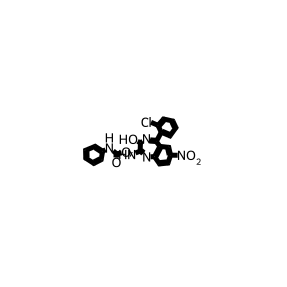 O=C(Nc1ccccc1)ONC1=Nc2ccc([N+](=O)[O-])cc2C(c2ccccc2Cl)=NC1O